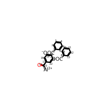 O=C([O-])c1ccccc1.O=C([O-])c1ccccc1.O=[C]([Al+2])c1ccccc1